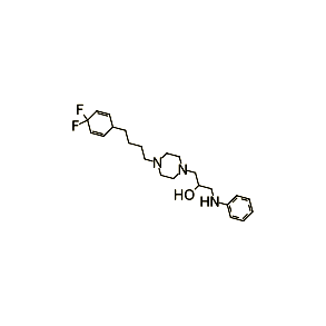 OC(CNc1ccccc1)CN1CCN(CCCCC2C=CC(F)(F)C=C2)CC1